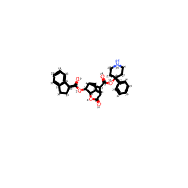 O=C(OC1C2CC3C1OC(=O)C3C2C(=O)OC1(c2ccccc2)CCNCC1)C1CCc2ccccc21